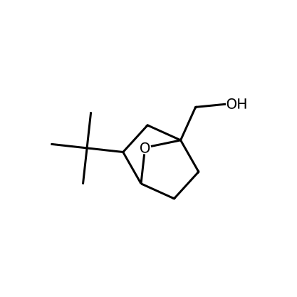 CC(C)(C)C1CC2(CO)CCC1O2